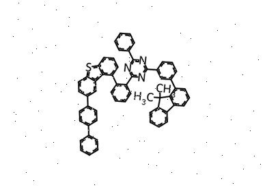 CC1(C)c2ccccc2-c2cccc(-c3cccc(-c4nc(-c5ccccc5)nc(-c5ccccc5-c5cccc6sc7ccc(-c8ccc(-c9ccccc9)cc8)cc7c56)n4)c3)c21